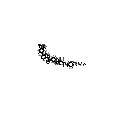 CO[C@H]1CC[C@H](NC/C=C/C(=O)Nc2ccc(C(=O)c3nn(C)c4c(-c5cc6ncn(C)c6cc5C)cccc34)cc2C#N)CC1